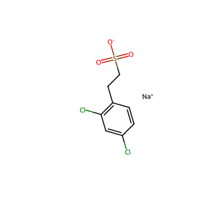 O=S(=O)([O-])CCc1ccc(Cl)cc1Cl.[Na+]